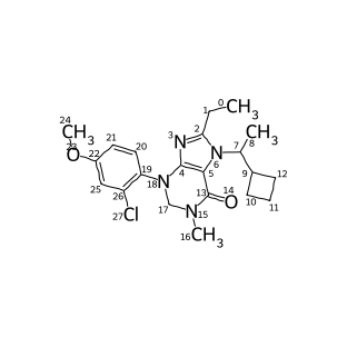 CCc1nc2c(n1C(C)C1CCC1)C(=O)N(C)CN2c1ccc(OC)cc1Cl